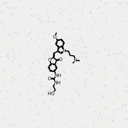 COc1ccc2c(c1)c(C=C1Oc3ccc(NC(=O)NCCO)cc3C1=O)cn2CCCN(C)C